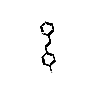 Brc1ccc(/C=C/c2ccccn2)cc1